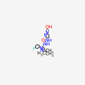 CC(C)(C)c1cc(CNC(=O)Nc2ccc(N3CC(O)C3)nc2)n(-c2cccc(F)c2)n1